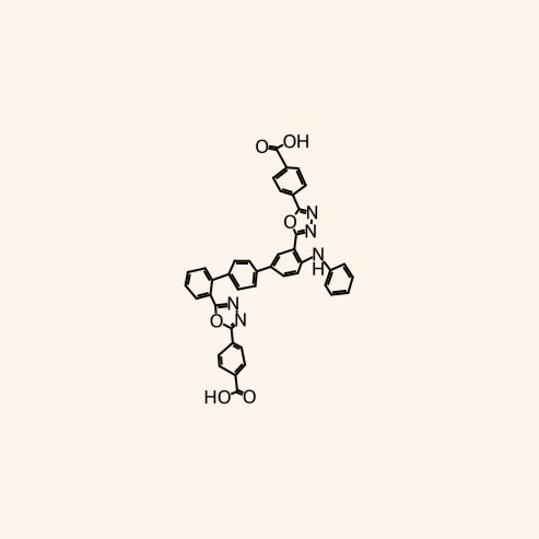 O=C(O)c1ccc(-c2nnc(-c3cc(-c4ccc(-c5ccccc5-c5nnc(-c6ccc(C(=O)O)cc6)o5)cc4)ccc3Nc3ccccc3)o2)cc1